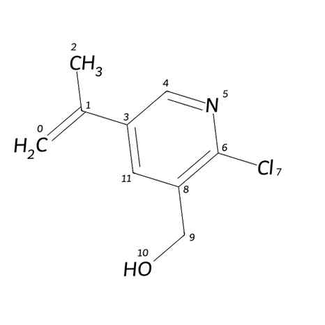 C=C(C)c1cnc(Cl)c(CO)c1